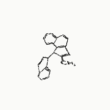 CC1=Cc2ccc3ccccc3c2C1C1C=Cc2ccccc21